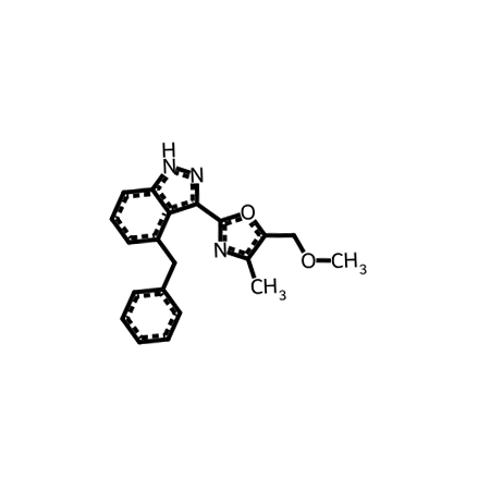 COCc1oc(-c2n[nH]c3cccc(Cc4ccccc4)c23)nc1C